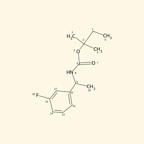 CCC(C)(C)OC(=O)NC(C)c1cccc(F)c1